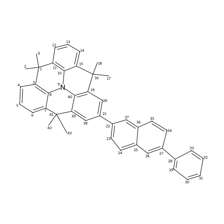 CC1(C)c2cccc3c2N2c4c1cccc4C(C)(C)c1cc(-c4ccc5cc(-c6ccccc6)ccc5c4)cc(c12)C3(C)C